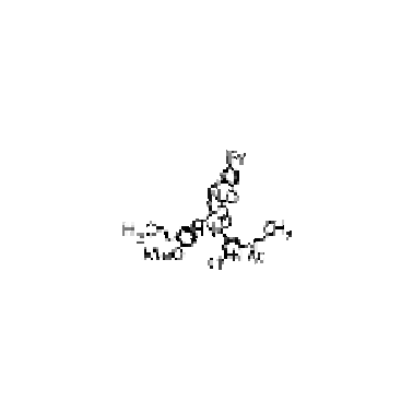 C=CCc1cc(C[C@H](NC(=O)c2cc(Cl)nc(N(CC=C)C(C)=O)c2)C2CN(Cc3cccc(C(C)C)c3)C(=O)O2)ccc1OC